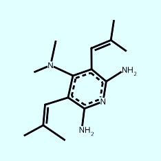 CC(C)=Cc1c(N)nc(N)c(C=C(C)C)c1N(C)C